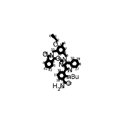 C#CCOc1c(C)cc(Cn2cnc3c(-c4cccc(C(N)=O)c4CCCC)nc4ccccc4c32)cc1CN1C(=O)c2ccccc2C1=O